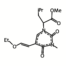 CCOC=Cc1cn(C(CC(C)C)C(=O)OC)c(=O)n(C)c1=O